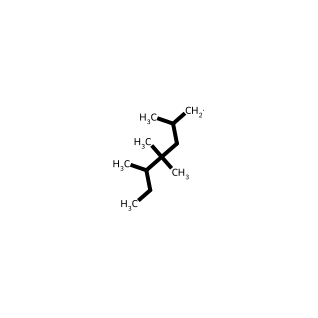 [CH2]C(C)CC(C)(C)C(C)CC